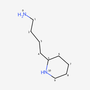 NCCCCC1CCCCN1